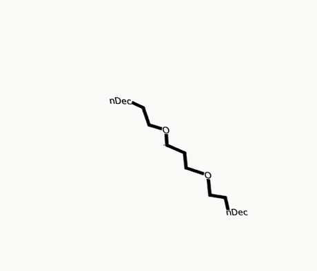 CCCCCCCCCCCCO[CH]CCOCCCCCCCCCCCC